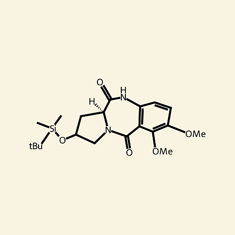 COc1ccc2c(c1OC)C(=O)N1CC(O[Si](C)(C)C(C)(C)C)C[C@H]1C(=O)N2